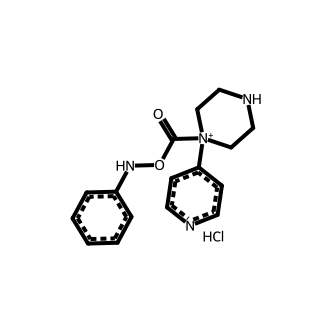 Cl.O=C(ONc1ccccc1)[N+]1(c2ccncc2)CCNCC1